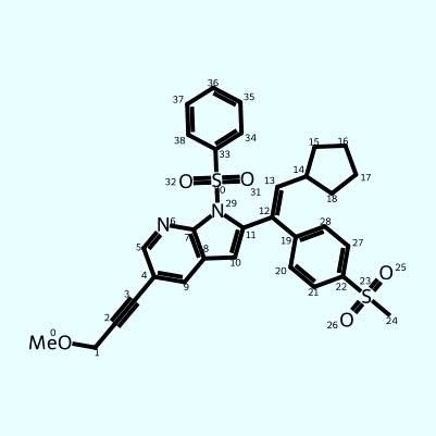 COCC#Cc1cnc2c(c1)cc(/C(=C/C1CCCC1)c1ccc(S(C)(=O)=O)cc1)n2S(=O)(=O)c1ccccc1